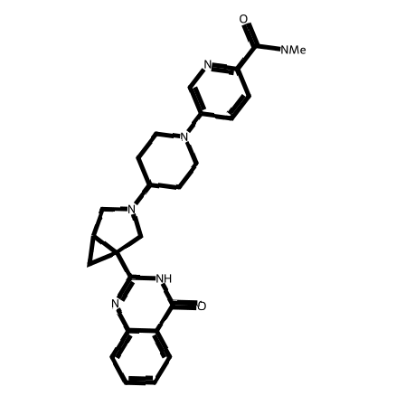 CNC(=O)c1ccc(N2CCC(N3CC4CC4(c4nc5ccccc5c(=O)[nH]4)C3)CC2)cn1